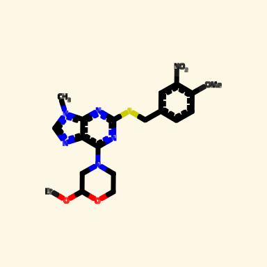 CCOC1CN(c2nc(SCc3ccc(OC)c([N+](=O)[O-])c3)nc3c2ncn3C)CCO1